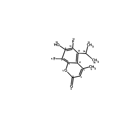 Cc1cc(=O)oc2c(F)c(O)c(F)c(C(C)C)c12